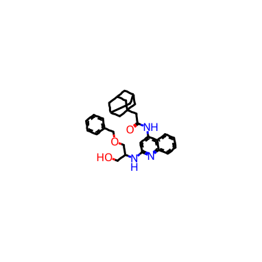 O=C(CC12CC3CC(CC(C3)C1)C2)Nc1cc(NC(CO)COCc2ccccc2)nc2ccccc12